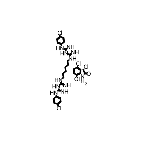 N=C(NCCCCCCNC(=N)NC(=N)Nc1ccc(Cl)cc1)NC(=N)Nc1ccc(Cl)cc1.NC(=O)CCl.Oc1ccc(Cl)cc1